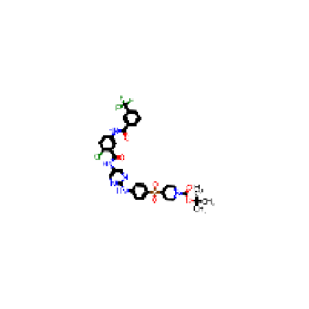 CC(C)(C)OC(=O)N1CCC(S(=O)(=O)c2ccc(Nc3ncc(NC(=O)c4cc(NC(=O)c5cccc(C(F)(F)F)c5)ccc4Cl)cn3)cc2)CC1